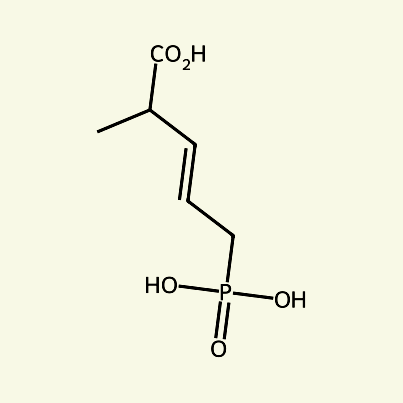 CC(/C=C/CP(=O)(O)O)C(=O)O